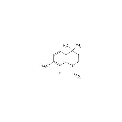 CC1(C)CCS(=S=O)c2c1ccc(C(=O)O)c2Cl